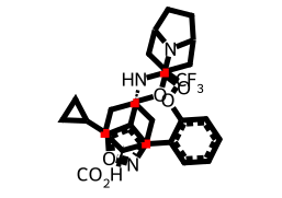 O=C(N[C@H]1CC[C@H](C(=O)O)CC1)N1C2CCC1CC(OCc1c(-c3ccccc3OC(F)(F)F)noc1C1CC1)C2